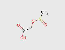 CS(=O)OCC(=O)O